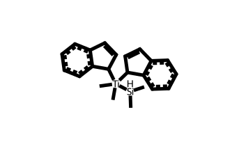 C[SiH](C)[Ti]([CH3])([CH3])([CH]1C=Cc2ccccc21)[CH]1C=Cc2ccccc21